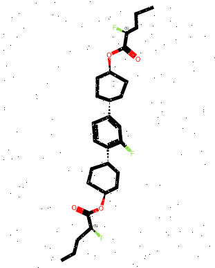 CCC[C@H](F)C(=O)O[C@H]1CC[C@H](c2ccc([C@H]3CC[C@H](OC(=O)[C@@H](F)CCC)CC3)c(F)c2)CC1